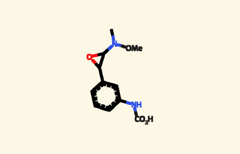 CON(C)C1OC1c1cccc(NC(=O)O)c1